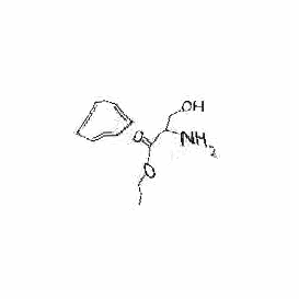 CCOC(=O)C(N)CO.c1ccccc1